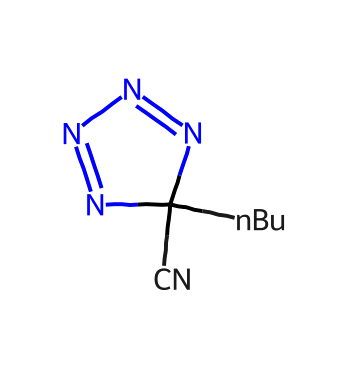 CCCCC1(C#N)N=NN=N1